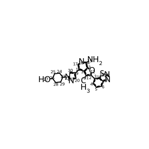 Cc1c(-c2cccc3nnsc23)oc2c(N)ncc(-c3cnn(C4CCC(O)CC4)c3)c12